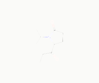 CCC(=O)C1CCC(=O)N1C(C)C